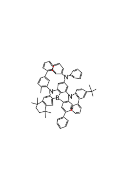 Cc1ccc(-c2ccccc2)cc1N1c2cc3c(cc2B2c4cc(-c5ccccc5)ccc4N(c4ccc(C(C)(C)C)cc4-c4ccccc4)c4cc(N(c5ccccc5)c5ccccc5)cc1c42)C(C)(C)CCC3(C)C